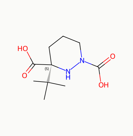 CC(C)(C)[C@]1(C(=O)O)CCCN(C(=O)O)N1